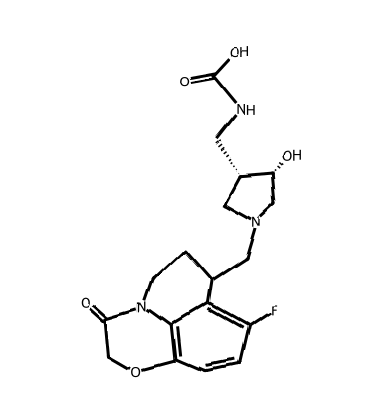 O=C(O)NC[C@H]1CN(CC2CCN3C(=O)COc4ccc(F)c2c43)C[C@H]1O